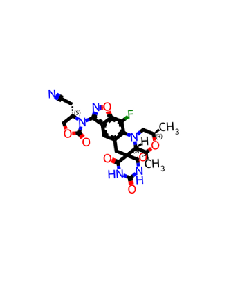 C[C@@H]1CN2c3c(cc4c(N5C(=O)OC[C@@H]5CC#N)noc4c3F)CC3(C(=O)NC(=O)NC3=O)[C@H]2[C@H](C)O1